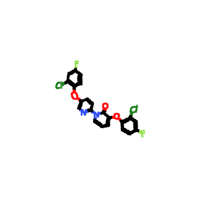 O=c1c(Oc2ccc(F)cc2Cl)cccn1-c1ccc(Oc2ccc(F)cc2Cl)cn1